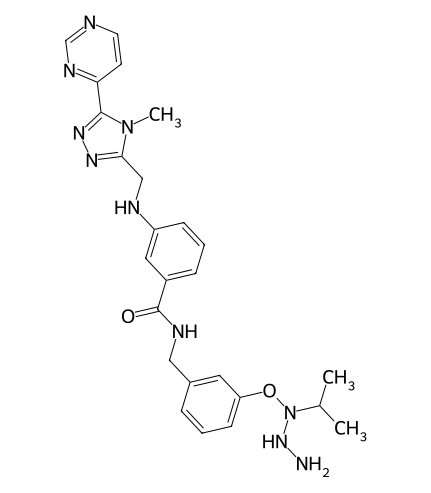 CC(C)N(NN)Oc1cccc(CNC(=O)c2cccc(NCc3nnc(-c4ccncn4)n3C)c2)c1